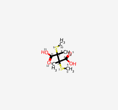 CSC(C)(C(=O)O)C(C)(SC)C(=O)O